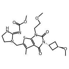 COCCn1c(=O)n([C@H]2C[C@H](OC)C2)c(=O)c2c(C)c(CN3CCN/C3=N\C(=O)OC)sc21